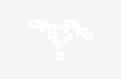 CC.O=C(O)c1cncc(Br)c1